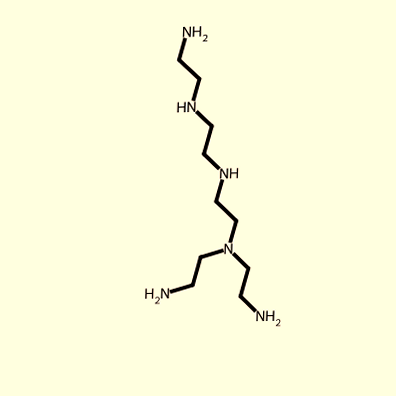 NCCNCCNCCN(CCN)CCN